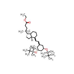 CCOC(=O)CC[C@@H](C)[C@H]1CC[C@H]2/C(=C/C=C3/C[C@@H](O[Si](C)(C)C(C)(C)C)C[C@H](O[Si](C)(C)C(C)(C)C)[C@@H]3C)CCC[C@]12C